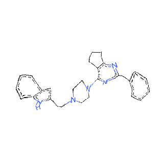 c1ccc(-c2nc3c(c(N4CCN(Cc5cc6ccccc6[nH]5)CC4)n2)CCC3)cc1